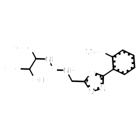 COc1ccccc1-c1nnc(CNSNC(C(=O)O)C(C)O)o1